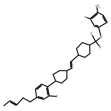 C/C=C/CCc1ccc(C2CCC(/C=C/C3CCC(C(F)(F)Oc4ccc(C(F)(F)F)c(F)c4)CC3)CC2)c(F)c1